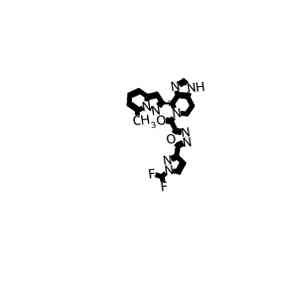 Cc1cccc2cc([C@H]3c4nc[nH]c4CCN3C(=O)c3nnc(-c4ccn(C(F)F)n4)o3)nn12